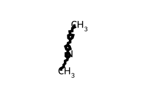 CCCCCCCc1ccc(-c2ccc(CCc3ccc(CCCCC)cc3)cc2)nc1